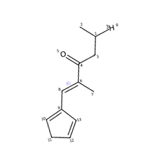 [3H]C(C)CC(=O)/C(C)=C/C1=CCC=C1